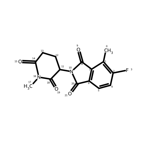 Cc1c(F)ccc2c1C(=O)N(C1CCC(=O)N(C)C1=O)C2=O